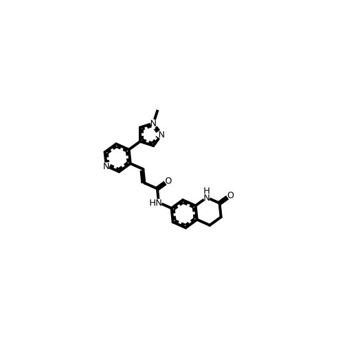 Cn1cc(-c2ccncc2C=CC(=O)Nc2ccc3c(c2)NC(=O)CC3)cn1